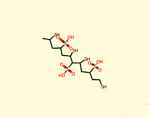 CC(S)CC(CC(S)C(C(S)CC(CCS)S(=O)(=O)O)S(=O)(=O)O)S(=O)(=O)O